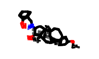 COc1ccc2c(c1)CC[C@@H]1[C@@H]2CC[C@@]2(C)[C@@H](O)[C@@H](NCc3ccccc3O)C[C@@H]12